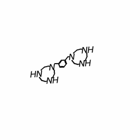 c1cc(CN2CCCNCCCNCCC2)cc(CN2CCCNCCCNCCC2)c1